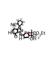 CCOC(=O)C(C)(C)C(O)(c1ccc(Nc2nn(C3CCCCC3C#N)c3cc[nH]c(=O)c23)cc1)C(F)(F)F